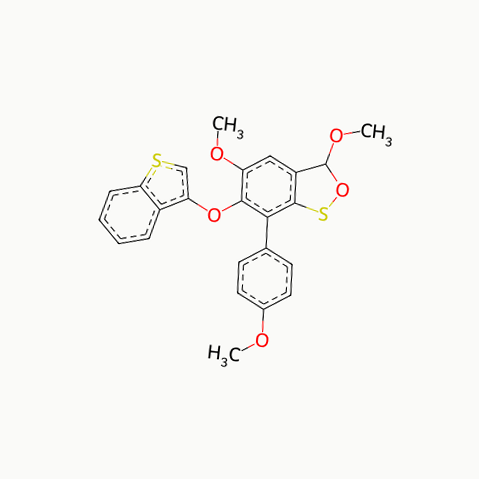 COc1ccc(-c2c(Oc3csc4ccccc34)c(OC)cc3c2SOC3OC)cc1